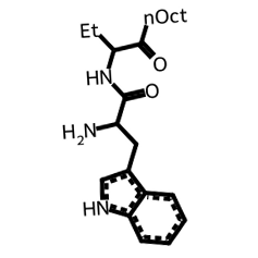 CCCCCCCCC(=O)C(CC)NC(=O)C(N)Cc1c[nH]c2ccccc12